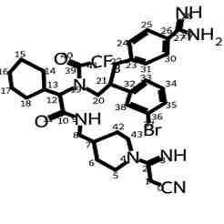 N#CCC(=N)N1CCC(CNC(=O)C(C2CCCCC2)N(CC(Cc2ccc(C(=N)N)cc2)c2cccc(Br)c2)C(=O)C(F)(F)F)CC1